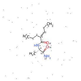 CC/C=C(\CCC)C(=O)N[C@@H](C)C(N)=O